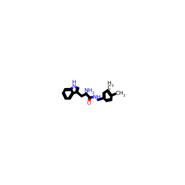 Cc1ccc(CNC(=O)C(N)Cc2c[nH]c3ccccc23)cc1C